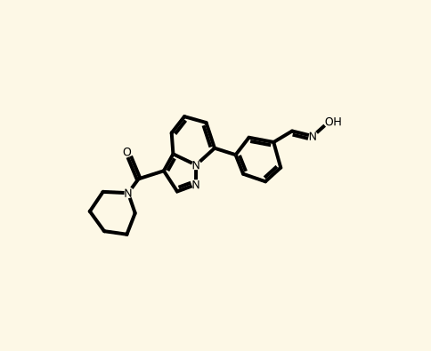 O=C(c1cnn2c(-c3cccc(C=NO)c3)cccc12)N1CCCCC1